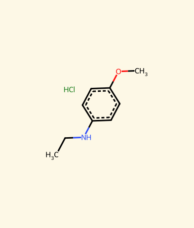 CCNc1ccc(OC)cc1.Cl